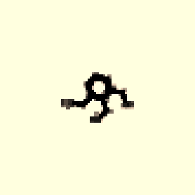 CCc1cccc(CO)c1CO